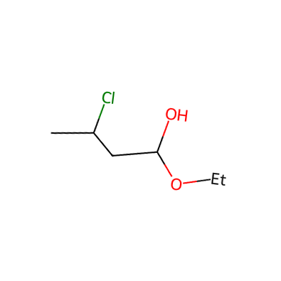 CCOC(O)CC(C)Cl